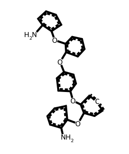 Nc1ccccc1Oc1ccccc1Oc1ccc(Oc2ccccc2Oc2ccccc2N)cc1